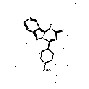 O=CN1CCC(c2cc(=O)[nH]c3c4cnccc4nn23)CC1